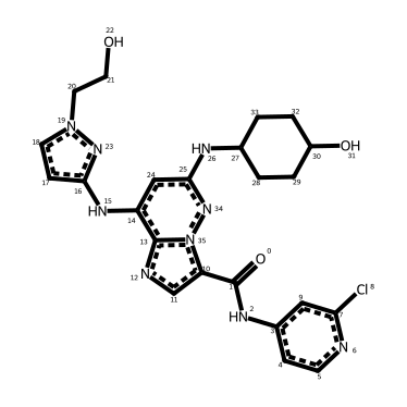 O=C(Nc1ccnc(Cl)c1)c1cnc2c(Nc3ccn(CCO)n3)cc(NC3CCC(O)CC3)nn12